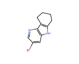 Brc1cnc2c3c([nH]c2c1)CCCC3